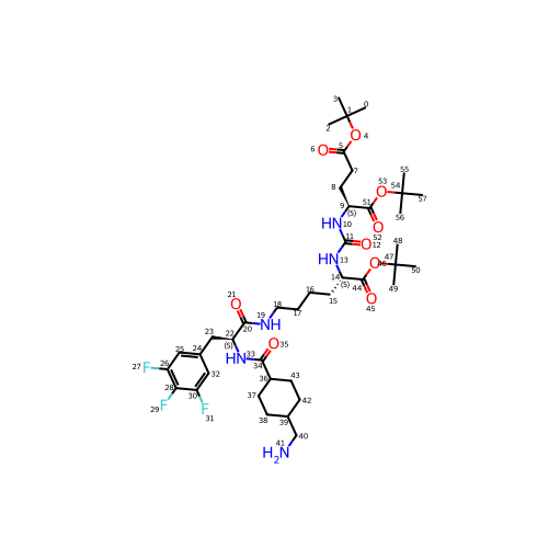 CC(C)(C)OC(=O)CC[C@H](NC(=O)N[C@@H](CCCCNC(=O)[C@H](Cc1cc(F)c(F)c(F)c1)NC(=O)C1CCC(CN)CC1)C(=O)OC(C)(C)C)C(=O)OC(C)(C)C